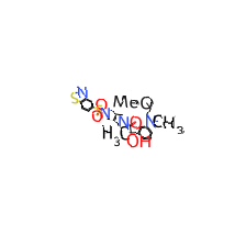 COCCN(C)c1cccc(C(C)(O)C(=O)N2CC3=C(C2)CN(S(=O)(=O)c2ccc4scnc4c2)C3)c1